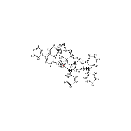 c1ccc(-c2ccc3c4c(cccc24)C2(c4ccccc4Oc4ccccc42)c2cc(N(c4ccccc4)c4ccc5c6ccccc6n(-c6ccccc6)c5c4)ccc2-3)cc1